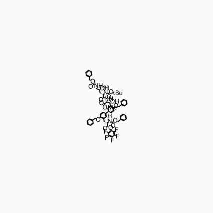 COC(=O)[C@@H](NC(=O)[C@H](C[C@@H](O)CNC(=O)OCc1ccccc1)NC(=O)OC(C)(C)C)[C@H](O)c1cc(-c2ccc(OCc3ccccc3)c(C[C@H](NC(=O)OCc3ccccc3)C(=O)Oc3c(F)c(F)c(F)c(F)c3F)c2)ccc1OCc1ccccc1